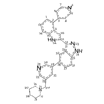 c1cc(-c2ccncc2)c2cc(-c3n[nH]c4ccc(-c5cncc(CN6CCCCC6)c5)cc34)[nH]c2c1